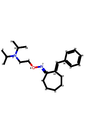 CC(C)N(CCO/N=C1\CCCCC\C1=C/c1ccccc1)C(C)C